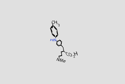 CNCCCC(Cc1ccc(Nc2ccc(C)cc2)cc1)C(=O)O